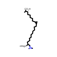 CCCCCCCC(CCCCCCCCCCC1CC1CCCCCCC(C)C(=O)O)CN(C)C